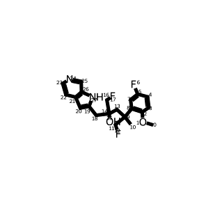 COc1ccc(F)cc1C(C)(CF)CC(O)(CF)Cc1cc2ccncc2[nH]1